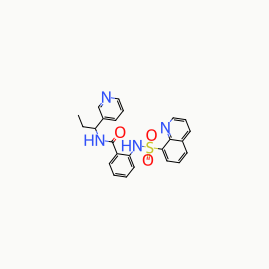 CCC(NC(=O)c1ccccc1NS(=O)(=O)c1cccc2cccnc12)c1cccnc1